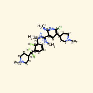 C=Nc1nc(Cl)c(C2CCN(C(C)C)CC2)cc1/C(=N\C)N[C@H](C)c1cccc(C(F)(F)C2CCN(C(C)C)CC2)c1F